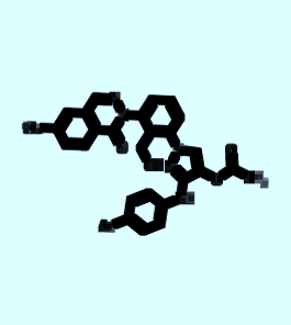 CC(=O)c1ccc(Nc2nn(-c3cccc(-n4ncc5cc(C(C)(C)C)ccc5c4=O)c3CO)cc2OC(N)=O)cc1